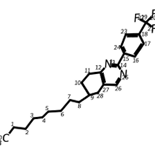 CCCCCCCCCC1CCc2nc(-c3ccc(C(F)(F)F)cc3)ncc2C1